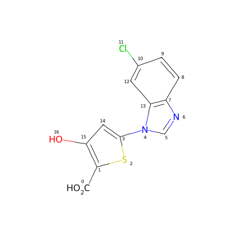 O=C(O)c1sc(-n2cnc3ccc(Cl)cc32)cc1O